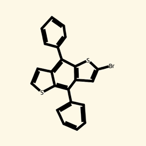 Brc1cc2c(-c3ccccc3)c3sccc3c(-c3ccccc3)c2s1